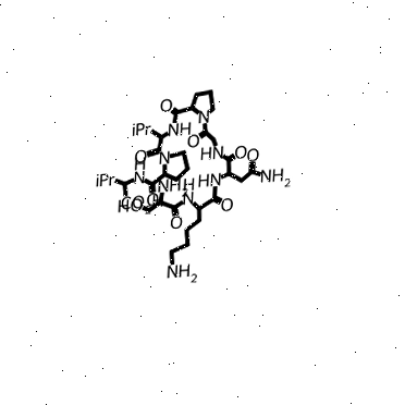 CC(C)C(NC(=O)C1CCCN1C(=O)C(NC(=O)C1CCCN1C(=O)CNC(=O)C(CC(N)=O)NC(=O)C(CCCCN)NC(=O)C(N)CO)C(C)C)C(=O)O